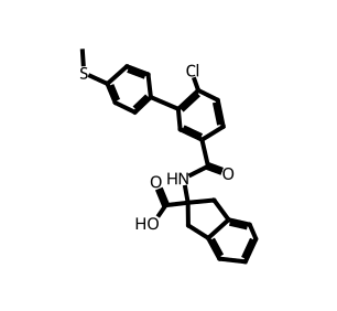 CSc1ccc(-c2cc(C(=O)NC3(C(=O)O)Cc4ccccc4C3)ccc2Cl)cc1